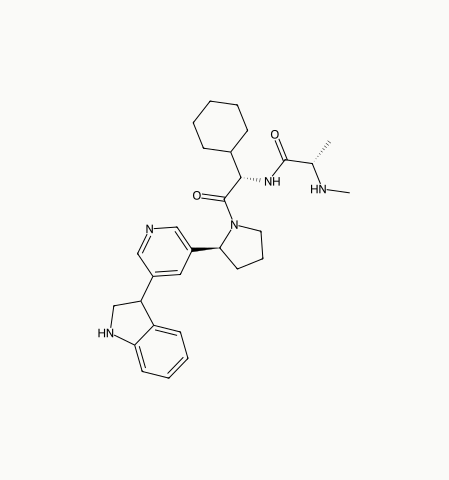 CN[C@@H](C)C(=O)N[C@H](C(=O)N1CCC[C@H]1c1cncc(C2CNc3ccccc32)c1)C1CCCCC1